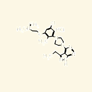 CCc1n[nH]c2ncnc(N3CCN(c4cc(Cl)cc(OCCN(C)C)c4C)CC3)c12.Cl